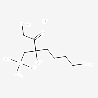 CCCCCCCCCCCCCCC(O)(C[N+](C)(CCC)CCC)C(=O)CCCCCCCCCCC.[Cl-]